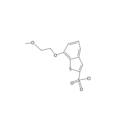 COCCOc1cccc2cc(S(=O)(=O)Cl)sc12